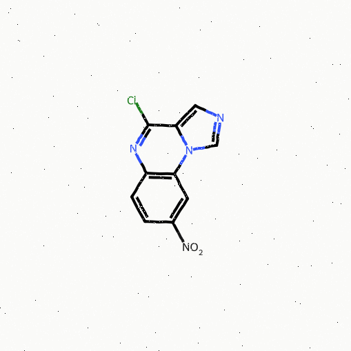 O=[N+]([O-])c1ccc2nc(Cl)c3cncn3c2c1